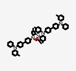 Cc1cccc(N(c2ccccc2)c2ccc(-c3ccc(N4c5ccc(C)cc5[Si]5(c6cc(C)ccc64)c4cc(C)ccc4N(c4ccc(-c6ccc(N(c7ccccc7)c7cccc(C)c7)cc6)cc4)c4ccc(C)cc45)cc3)cc2)c1